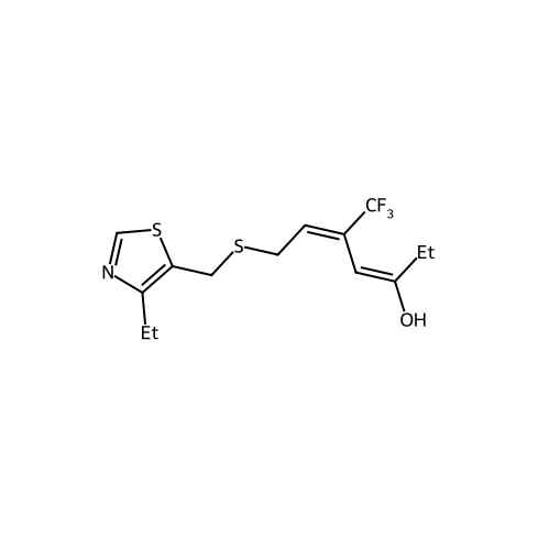 CC/C(O)=C\C(=C/CSCc1scnc1CC)C(F)(F)F